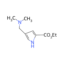 CCOC(=O)c1cc(CN(C)C)c[nH]1